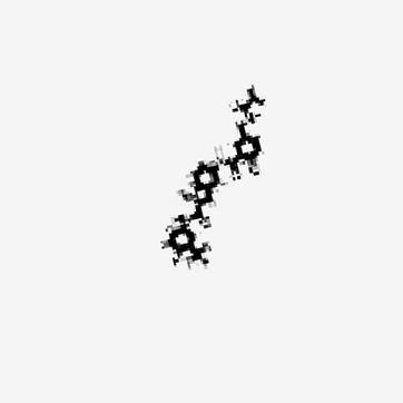 CC(C)C(=O)NCc1ccc(Cl)c(C(=O)Nc2ccc3c(c2)cc(C(=O)Nc2ccc(F)c(C(F)(F)F)c2)n3C)c1